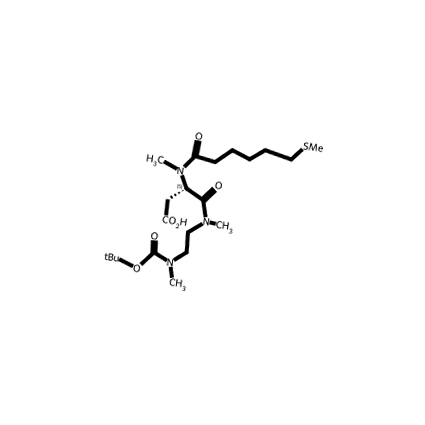 CSCCCCCC(=O)N(C)[C@@H](CC(=O)O)C(=O)N(C)CCN(C)C(=O)OC(C)(C)C